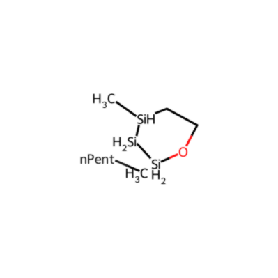 CCCCCC.C[SiH]1CCO[SiH2][SiH2]1